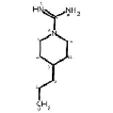 CC[CH]C1CCN(C(=N)N)CC1